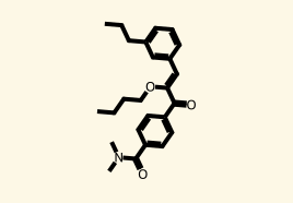 CCCCOC(=Cc1cccc(CCC)c1)C(=O)c1ccc(C(=O)N(C)C)cc1